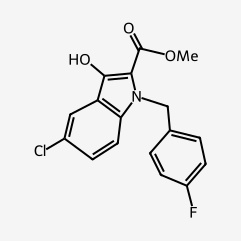 COC(=O)c1c(O)c2cc(Cl)ccc2n1Cc1ccc(F)cc1